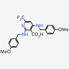 COc1ccc(CNc2cc(C(F)(F)F)nc(NCc3ccc(OC)cc3)c2C(=O)O)cc1